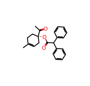 CC(=O)[C@@]1(OC(=O)C(c2ccccc2)c2ccccc2)CC=C(C)CC1